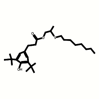 CCCCCCCCSC(C)COC(=O)CCc1cc(C(C)(C)C)c(O)c(C(C)(C)C)c1